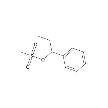 CCC(OS(C)(=O)=O)c1cc[c]cc1